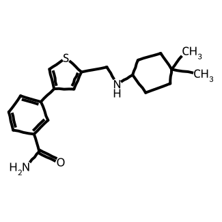 CC1(C)CCC(NCc2cc(-c3cccc(C(N)=O)c3)cs2)CC1